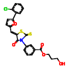 O=C(OCCCO)c1cccc(N2C(=O)C(=Cc3ccc(-c4ccccc4Cl)o3)SC2=S)c1